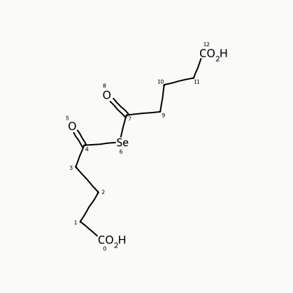 O=C(O)CCCC(=O)[Se]C(=O)CCCC(=O)O